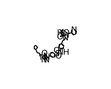 CC(C)(C)OC(=O)N(CCc1ccc(NS(=O)(=O)c2ccc(-n3nnn(CCCC4CCCC4)c3=O)cc2)cc1)CC(O)c1cccnc1